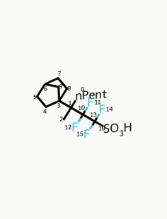 CCCCCC(C)(C12CCC(CC1)C2)C(F)(F)C(F)(F)S(=O)(=O)O